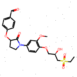 CCS(=O)(=O)C[C@H](O)COc1ccc(N2CCC(Oc3ccc(C=O)cc3)C2=O)cc1OC